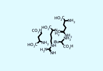 CCC(C)C(N)C(=O)O.N=C(N)NCCCC(N)C(=O)O.NC(=O)CCC(N)C(=O)O.NC(CCC(=O)O)C(=O)O